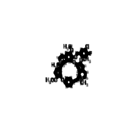 COc1ccc2cc1Oc1ccc(cc1)C[C@H]1c3cc(c(OC)cc3CCN1C)Oc1c(OCc3ccc(F)c(Cl)c3)c(OC)cc3c1[C@H](C2)N(C)CC3